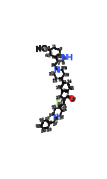 N#Cc1ccc2[nH]cc(CN3CCC(c4ccc5c(c4)CC(CC4(F)CCN(Cc6ccccc6)CC4)C5=O)CC3)c2c1